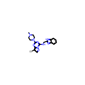 CCc1cnn2c(NCc3nc4ccccc4[nH]3)nc(N3CCN(C)CC3)nc12